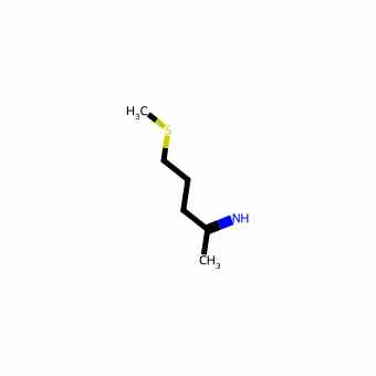 CSCCCC(C)=N